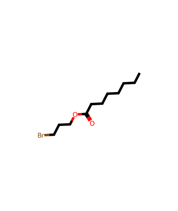 CCCCCCCC(=O)OCCCBr